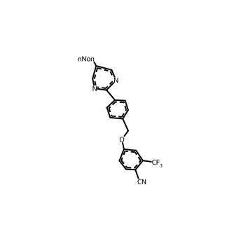 CCCCCCCCCc1cnc(-c2ccc(COc3ccc(C#N)c(C(F)(F)F)c3)cc2)nc1